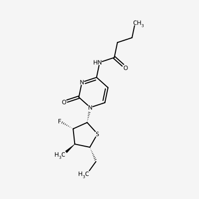 CCCC(=O)Nc1ccn([C@@H]2S[C@H](CC)[C@@H](C)[C@@H]2F)c(=O)n1